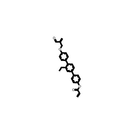 C=CC(=O)Oc1ccc(-c2ccc(-c3ccc(OCC(=C)C=O)cc3)c(CC)c2)cc1